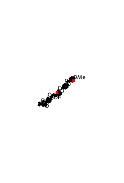 COc1ccc(C(=O)Oc2ccc(C(=O)Oc3ccc(C(O)CC(=O)Oc4ccc(N5C(=O)CC(=C(C)C)C5=O)cc4)cc3)cc2)cc1